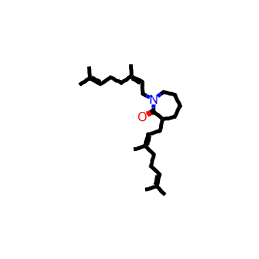 CC(C)=CCCC(C)=CCC1CCCCN(CC=C(C)CCC=C(C)C)C1=O